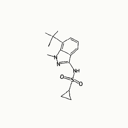 Cn1nc(NS(=O)(=O)C2CC2)c2cccc(C(C)(C)C)c21